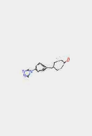 O=C1CCC(c2ccc(-n3cnnc3)cc2)CC1